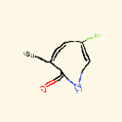 CC(C)(C)c1cc(F)c[nH]c1=O